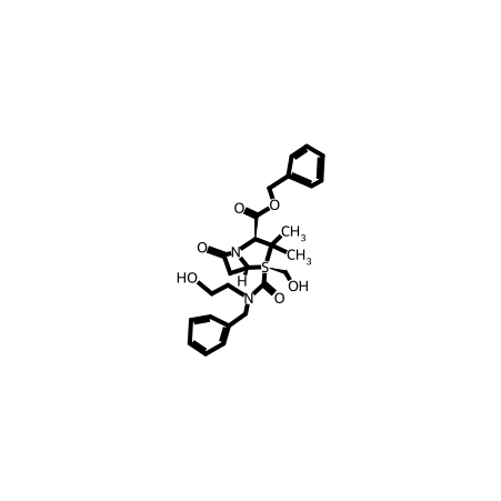 CC1(C)[C@H](C(=O)OCc2ccccc2)N2C(=O)C[C@H]2[S@@]1(CO)C(=O)N(CCO)Cc1ccccc1